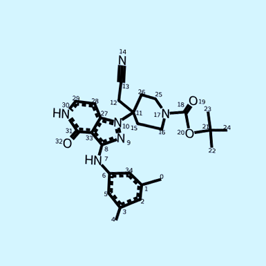 Cc1cc(C)cc(Nc2nn(C3(CC#N)CCN(C(=O)OC(C)(C)C)CC3)c3cc[nH]c(=O)c23)c1